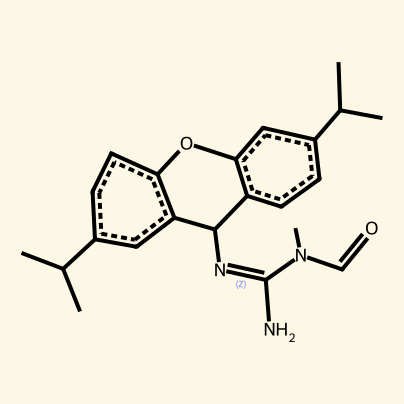 CC(C)c1ccc2c(c1)Oc1ccc(C(C)C)cc1C2/N=C(/N)N(C)C=O